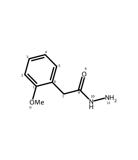 COc1ccccc1CC(=O)NN